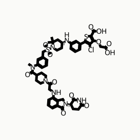 CN(C(=O)C1CCN(C(=O)CNc2cccc3c2CN([C@@H]2CCC(=O)NC2=O)C3=O)CC1)c1cccc(CS(=O)(=O)N2CC[C@H](Nc3cccc(-c4sc(C(=O)O)c(OCC(=O)O)c4Cl)c3)CC2(C)C)c1